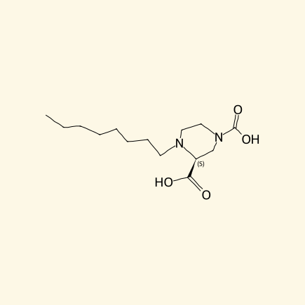 CCCCCCCCN1CCN(C(=O)O)C[C@H]1C(=O)O